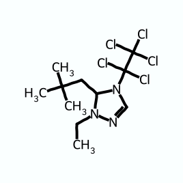 CCN1N=CN(C(Cl)(Cl)C(Cl)(Cl)Cl)C1CC(C)(C)C